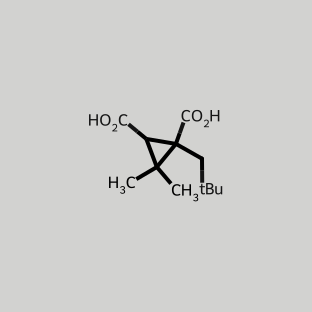 CC(C)(C)CC1(C(=O)O)C(C(=O)O)C1(C)C